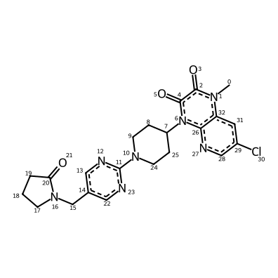 Cn1c(=O)c(=O)n(C2CCN(c3ncc(CN4CCCC4=O)cn3)CC2)c2ncc(Cl)cc21